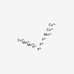 [Cu+2].[Cu+2].[Cu+2].[Mn+2].[Mn+2].[Mn+2].[P-3].[P-3].[P-3].[P-3]